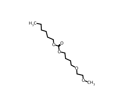 CCCCCCOC(=O)OCCCCOCCOC